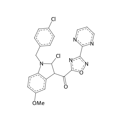 COc1ccc2c(c1)C(C(=O)c1nc(-c3ncccn3)no1)C(Cl)N2Cc1ccc(Cl)cc1